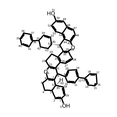 OC1=CC2CCC3=C(C(c4ccc(-c5ccccc5)cc4)C4=C(CCc5c4ccc4c5C([C@H]5C=CC(c6ccccc6)CC5)c5c(ccc6cc(O)ccc56)O4)O3)[C@H]2C=C1